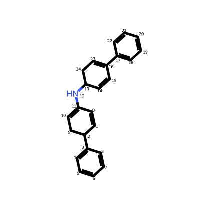 C1=CC(c2ccccc2)CC=C1NC1C=CC(c2ccccc2)=CC1